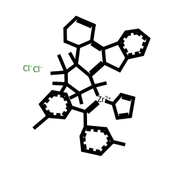 Cc1cccc([C](c2cccc(C)c2)=[Zr+2]([CH]2C=CC=C2)[C]2(C)C3=C4Cc5ccccc5C4=C4C=CCCC4C3(C)C(C)(C)C(C)(C)C2(C)C)c1.[Cl-].[Cl-]